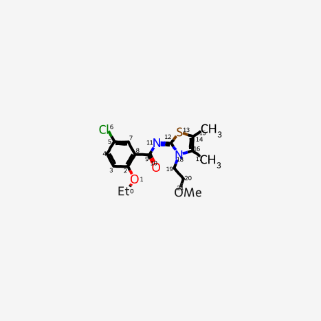 CCOc1ccc(Cl)cc1C(=O)N=c1sc(C)c(C)n1CCOC